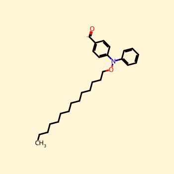 CCCCCCCCCCCCCCON(c1ccccc1)c1ccc([C]=O)cc1